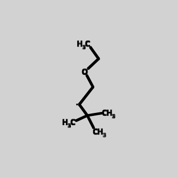 CCOC[CH]C(C)(C)C